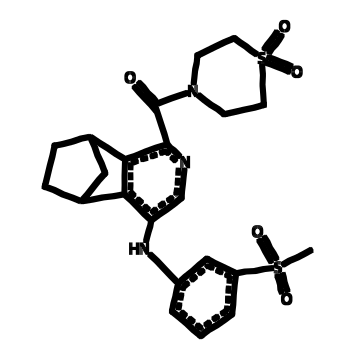 CS(=O)(=O)c1cccc(Nc2cnc(C(=O)N3CCS(=O)(=O)CC3)c3c2C2CCC3C2)c1